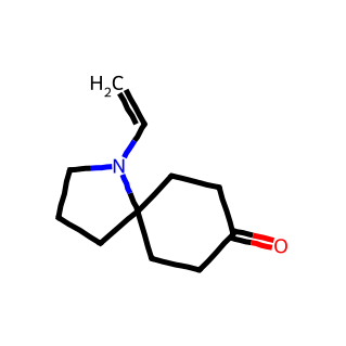 C=CN1CCCC12CCC(=O)CC2